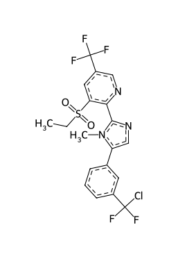 CCS(=O)(=O)c1cc(C(F)(F)F)cnc1-c1ncc(-c2cccc(C(F)(F)Cl)c2)n1C